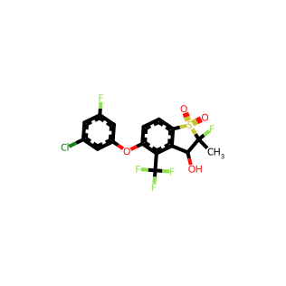 CC1(F)C(O)c2c(ccc(Oc3cc(F)cc(Cl)c3)c2C(F)(F)F)S1(=O)=O